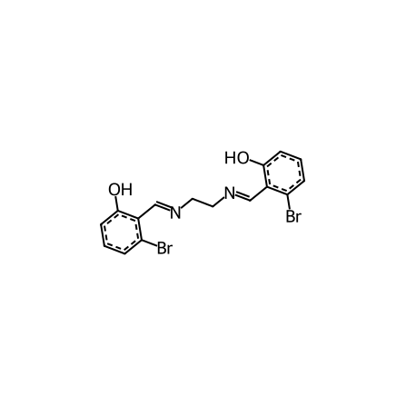 Oc1cccc(Br)c1/C=N/CC/N=C/c1c(O)cccc1Br